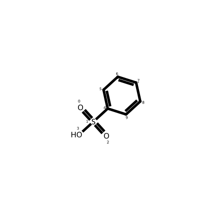 O=S(=O)(O)c1c[c][c]cc1